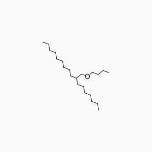 CCCCCCCCCC(CCCCCCC)COCCCC